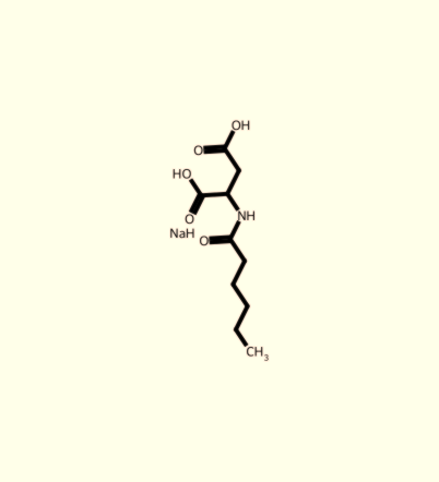 CCCCCC(=O)NC(CC(=O)O)C(=O)O.[NaH]